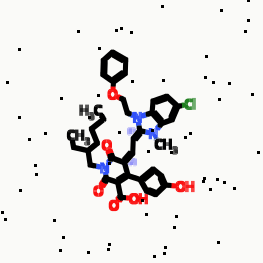 CCCCC(CC)CN1C(=O)C(C(=O)O)=C(c2ccc(O)cc2)/C(=C/C=C2\N(C)c3cc(Cl)ccc3N2CCOc2ccccc2)C1=O